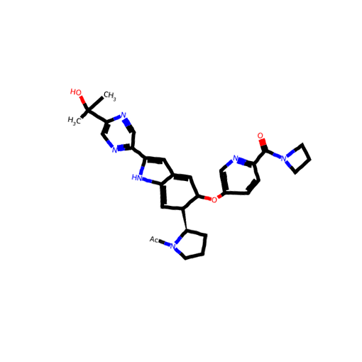 CC(=O)N1CCC[C@@H]1C1C=c2[nH]c(-c3cnc(C(C)(C)O)cn3)cc2=CC1Oc1ccc(C(=O)N2CCC2)nc1